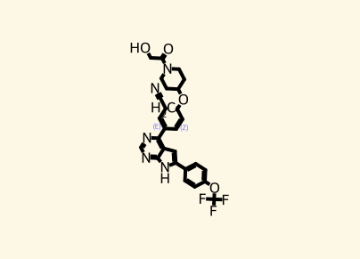 C=C(/C=C\C(=C/CC#N)c1ncnc2[nH]c(-c3ccc(OC(F)(F)F)cc3)cc12)OC1CCN(C(=O)CO)CC1